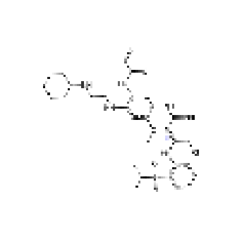 C=CC(=O)Nc1cc(NC(=N)/N=C(\CCl)Nc2ccccc2S(=O)(=O)C(C)C)c(OC)cc1NCCNC1CCCCC1